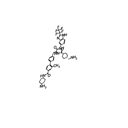 Cc1cc(C(=O)N[C@H]2CC[C@H](N)CC2)ccc1-c1ccc(C[C@H](NC(=O)[C@H]2CC[C@H](CN)CC2)C(=O)Nc2ccc3[nH]c(C(F)(F)C(F)(F)F)nc3c2)cc1